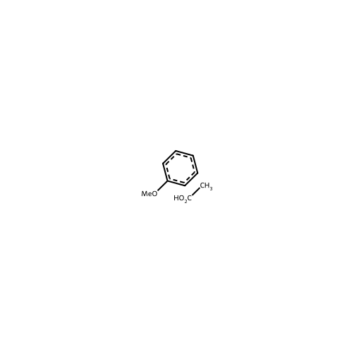 CC(=O)O.COc1ccccc1